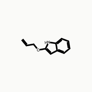 C=CCOc1cc2ccccc2[nH]1